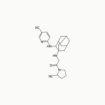 N#Cc1ccc(NC2C3CC4CC(C3)CC2(NCC(=O)N2CCCC2C#N)C4)nc1